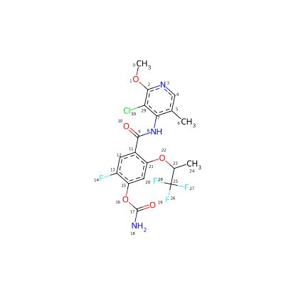 COc1ncc(C)c(NC(=O)c2cc(F)c(OC(N)=O)cc2OC(C)C(F)(F)F)c1Cl